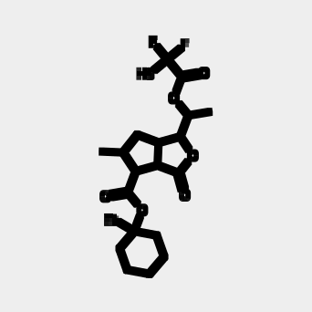 CCC1(OC(=O)C2C(C)CC3C(C(C)OC(=O)C(F)(F)S)OC(=O)C32)CCCCC1